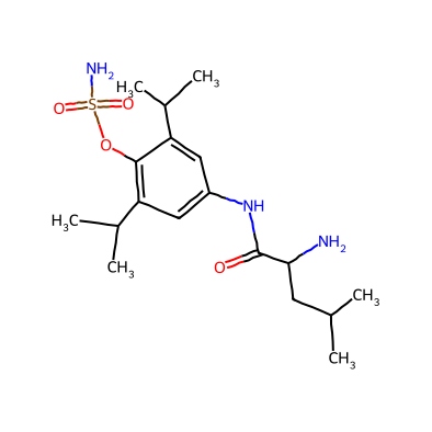 CC(C)CC(N)C(=O)Nc1cc(C(C)C)c(OS(N)(=O)=O)c(C(C)C)c1